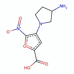 NC1CCN(c2cc(C(=O)O)oc2[N+](=O)[O-])C1